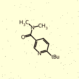 CN(C)C(=O)c1ccc(C(C)(C)C)nc1